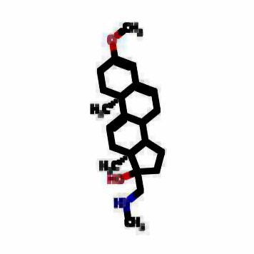 CNCC1(O)CCC2C3CC=C4C=C(OC)CC[C@]4(C)C3=CC[C@@]21C